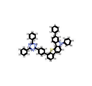 c1ccc(-c2ccc3c4c5sc6c(-c7ccc(-c8nc(-c9ccccc9)nc(-c9ccccc9)n8)cc7)cccc6c5ccc4n(-c4ccccc4)c3c2)cc1